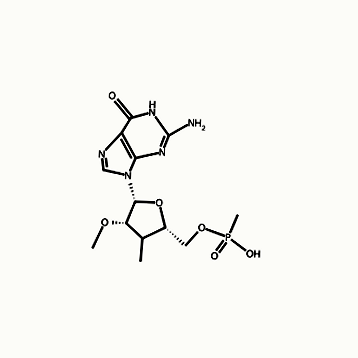 CO[C@H]1C(C)[C@@H](COP(C)(=O)O)O[C@H]1n1cnc2c(=O)[nH]c(N)nc21